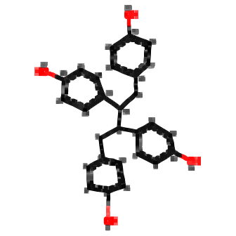 Oc1ccc(CC(c2ccc(O)cc2)C(Cc2ccc(O)cc2)c2ccc(O)cc2)cc1